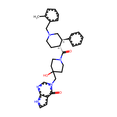 Cc1ccccc1CN1CC[C@@H](C(=O)N2CCC(O)(Cn3cnc4[nH]ccc4c3=O)CC2)[C@H](c2ccccc2)C1